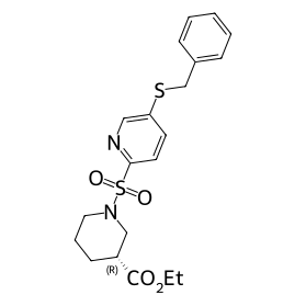 CCOC(=O)[C@@H]1CCCN(S(=O)(=O)c2ccc(SCc3ccccc3)cn2)C1